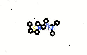 c1ccc(-c2cc(-n3c4ccccc4c4c5c6ccccc6n(-c6cccc7c6sc6c(-c8ccccc8)cccc67)c5ccc43)nc(-c3ccccc3)n2)cc1